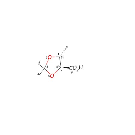 C[C@H]1OC(C)(C)O[C@@H]1C(=O)O